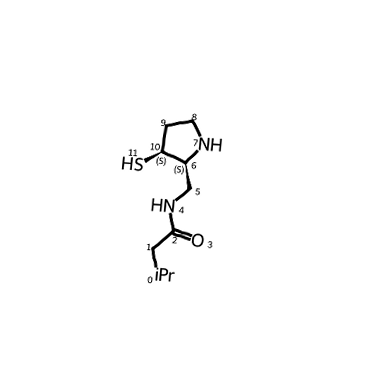 CC(C)CC(=O)NC[C@@H]1NCC[C@@H]1S